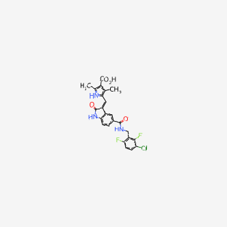 Cc1[nH]c(/C=C2\C(=O)Nc3ccc(C(=O)NCc4c(F)ccc(Cl)c4F)cc32)c(C)c1C(=O)O